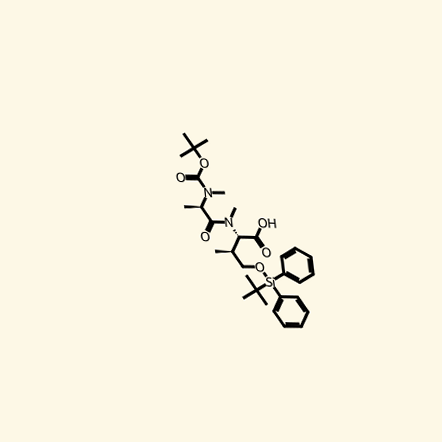 C[C@H](CO[Si](c1ccccc1)(c1ccccc1)C(C)(C)C)[C@@H](C(=O)O)N(C)C(=O)[C@@H](C)N(C)C(=O)OC(C)(C)C